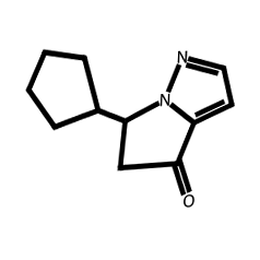 O=C1CC(C2CCCC2)n2nccc21